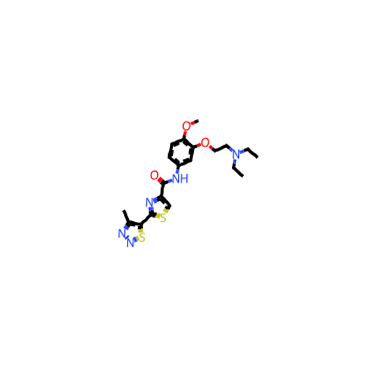 CCN(CC)CCOc1cc(NC(=O)c2csc(-c3snnc3C)n2)ccc1OC